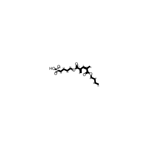 C=C(C=C(C)C(=O)OCCCC)C(=O)OCCCCS(=O)(=O)O